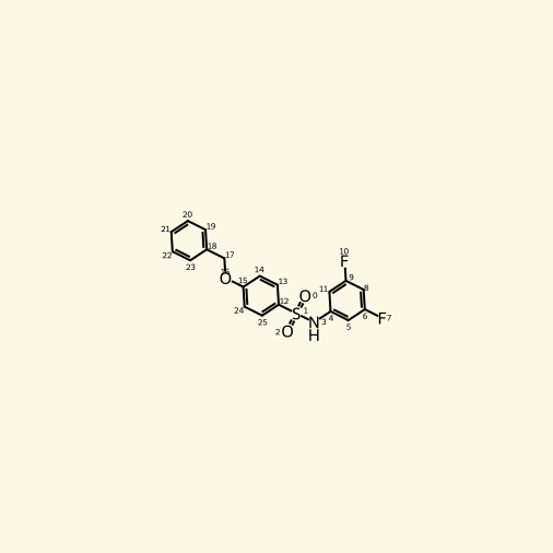 O=S(=O)(Nc1cc(F)cc(F)c1)c1ccc(OCc2ccccc2)cc1